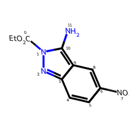 CCOC(=O)n1nc2ccc([N+](=O)[O-])cc2c1N